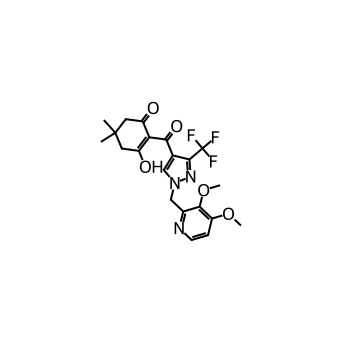 COc1ccnc(Cn2cc(C(=O)C3=C(O)CC(C)(C)CC3=O)c(C(F)(F)F)n2)c1OC